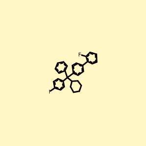 Fc1ccccc1-c1ccc(C(c2ccccc2)(c2ccc(I)cc2)C2CCCCC2)cc1